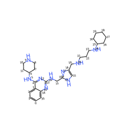 c1ccc2c(NC3CCNCC3)nc(NCc3nc(CNCCCNC4CCCCC4)c[nH]3)nc2c1